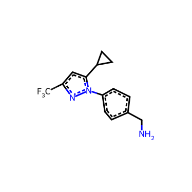 NCc1ccc(-n2nc(C(F)(F)F)cc2C2CC2)cc1